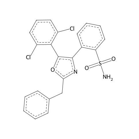 NS(=O)(=O)c1ccccc1-c1nc(Cc2ccccc2)oc1-c1c(Cl)cccc1Cl